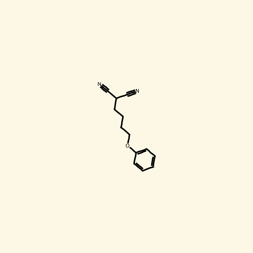 N#CC(C#N)CCCCOc1cc[c]cc1